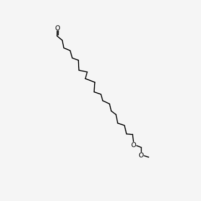 COCOCCCCCCCCCCCCCCCCCCCC=O